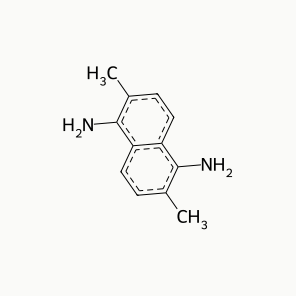 Cc1ccc2c(N)c(C)ccc2c1N